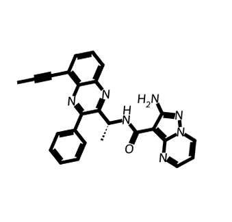 CC#Cc1cccc2nc([C@@H](C)NC(=O)c3c(N)nn4cccnc34)c(-c3ccccc3)nc12